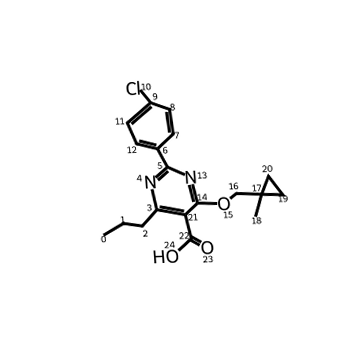 CCCc1nc(-c2ccc(Cl)cc2)nc(OCC2(C)CC2)c1C(=O)O